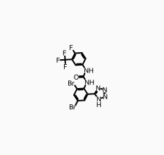 O=C(Nc1ccc(F)c(C(F)(F)F)c1)Nc1c(Br)cc(Br)cc1-c1nnn[nH]1